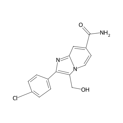 NC(=O)c1ccn2c(CO)c(-c3ccc(Cl)cc3)nc2c1